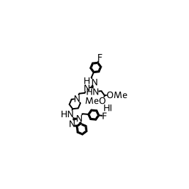 COC(CN/C(=N/Cc1ccc(F)cc1)NCCN1CCC(Nc2nc3ccccc3n2Cc2ccc(F)cc2)CC1)OC.I